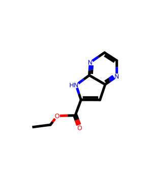 CCOC(=O)c1cc2nccnc2[nH]1